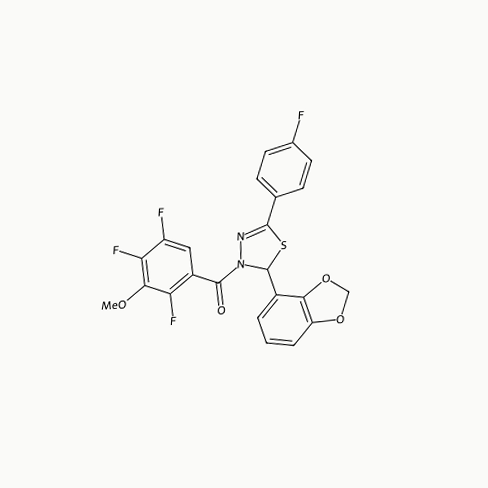 COc1c(F)c(F)cc(C(=O)N2N=C(c3ccc(F)cc3)SC2c2cccc3c2OCO3)c1F